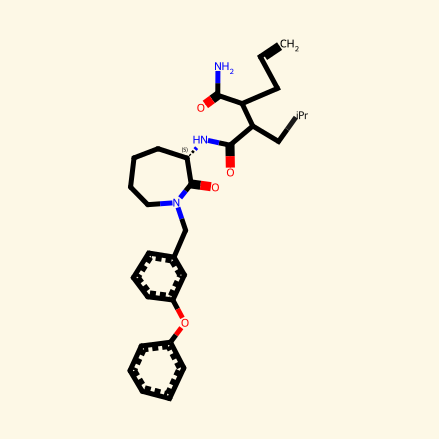 C=CCC(C(N)=O)C(CC(C)C)C(=O)N[C@H]1CCCCN(Cc2cccc(Oc3ccccc3)c2)C1=O